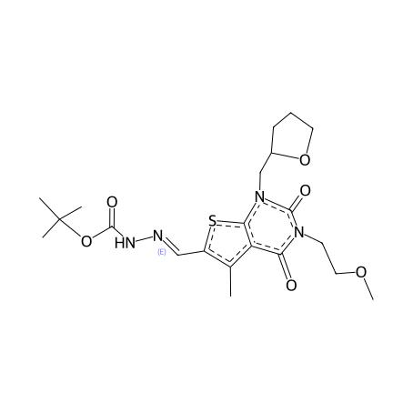 COCCn1c(=O)c2c(C)c(/C=N/NC(=O)OC(C)(C)C)sc2n(CC2CCCO2)c1=O